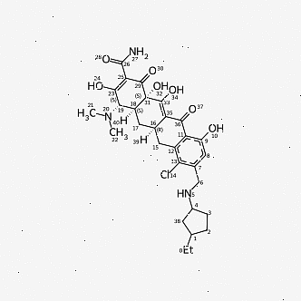 CCC1CCC(NCc2cc(O)c3c(c2Cl)C[C@H]2C[C@H]4[C@H](N(C)C)C(O)=C(C(N)=O)C(=O)[C@@]4(O)C(O)=C2C3=O)C1